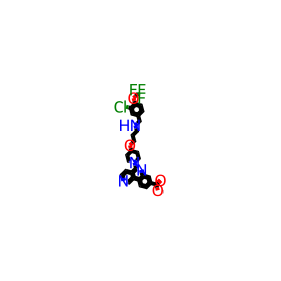 COC(=O)c1ccc2c(c1)nc(N1CCC(OCCCNCc3ccc(OC(F)(F)F)c(Cl)c3)CC1)c1ccncc12